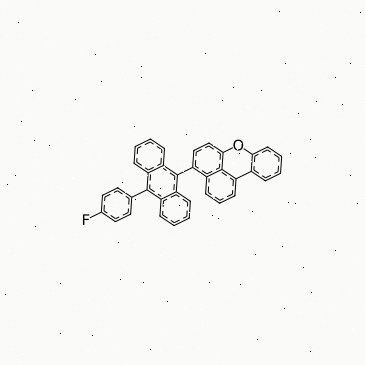 Fc1ccc(-c2c3ccccc3c(-c3ccc4c5c(cccc35)-c3ccccc3O4)c3ccccc23)cc1